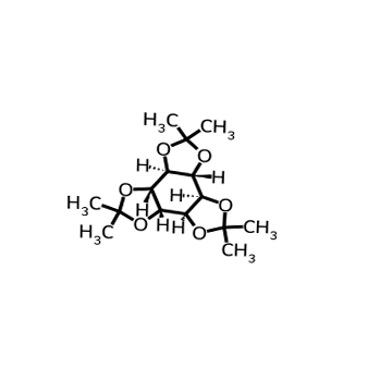 CC1(C)O[C@H]2[C@H](O1)[C@H]1OC(C)(C)O[C@H]1[C@@H]1OC(C)(C)O[C@@H]12